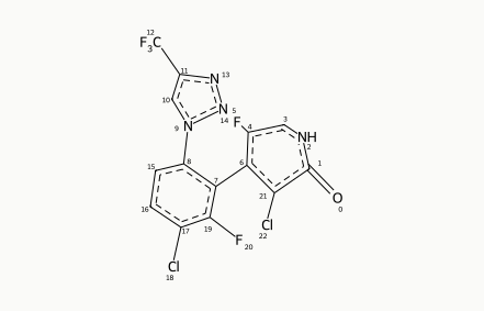 O=c1[nH]cc(F)c(-c2c(-n3cc(C(F)(F)F)nn3)ccc(Cl)c2F)c1Cl